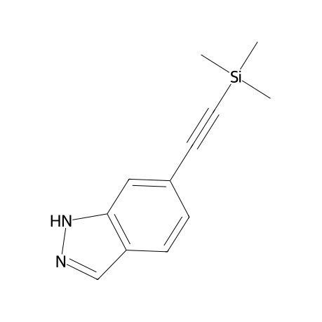 C[Si](C)(C)C#Cc1ccc2cn[nH]c2c1